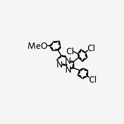 COc1cccc(-c2cnc3nc(-c4ccc(Cl)cc4)c(-c4ccc(Cl)cc4Cl)n3c2)c1